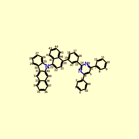 c1ccc(-c2cc(-c3ccccc3)nc(-c3cccc(-c4ccc(-n5c6ccccc6c6cc7ccccc7cc65)c5ccccc45)c3)n2)cc1